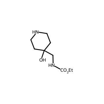 CCOC(=O)NCC1(O)CCNCC1